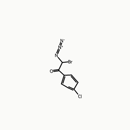 [N-]=[N+]=NC(Br)C(=O)c1ccc(Cl)cc1